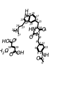 CC(=O)Nc1ccc(CCN2C(=O)NC(Cc3ccc4[nH]cc(CCN(C)C)c4c3)C2=O)cc1.O.O=C(O)C=CC(=O)O